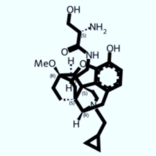 CO[C@]12CC[C@@]3(C[C@@H]1CNC(=O)[C@@H](N)CO)[C@H]1Cc4ccc(O)c5c4[C@@]3(CCN1CC1CC1)[C@H]2O5